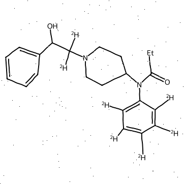 [2H]c1c([2H])c([2H])c(N(C(=O)CC)C2CCN(C([2H])([2H])C(O)c3ccccc3)CC2)c([2H])c1[2H]